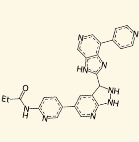 CCC(=O)Nc1ccc(-c2cnc3c(c2)C(c2nc4c(-c5ccncc5)cncc4[nH]2)NN3)cn1